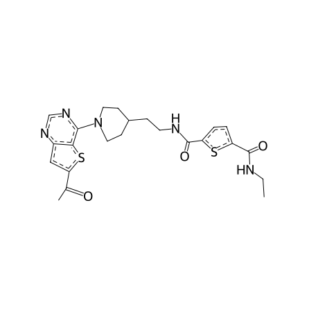 CCNC(=O)c1ccc(C(=O)NCCC2CCN(c3ncnc4cc(C(C)=O)sc34)CC2)s1